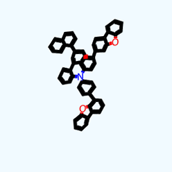 c1cc(-c2ccccc2N(c2ccc(-c3ccc4c(c3)oc3ccccc34)cc2)c2ccc(-c3cccc4c3oc3ccccc34)cc2)cc(-c2cccc3ccccc23)c1